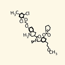 COCCCc1cc(CN(C(=O)C(CN)Cc2ccc(OCCOc3c(Cl)cc(C)cc3Cl)cc2)C2CC2)cc(OC(=O)N2CCCCC2)c1